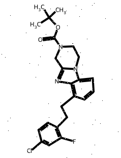 CC(C)(C)OC(=O)N1CCn2c(nc3c(CCc4ccc(Cl)cc4F)cccc32)C1